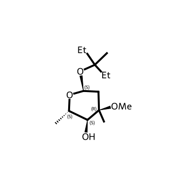 CCC(C)(CC)O[C@H]1C[C@@](C)(OC)[C@@H](O)[C@H](C)O1